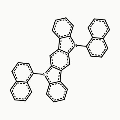 c1ccc2c(-n3c4ccccc4c4cc5c(cc43)c3ccccc3n5-c3cccc4ccccc34)cccc2c1